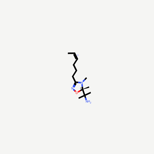 C/C=C\CCCC1=NO[C@@](C)(C(C)(C)N)N1C